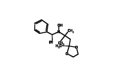 CC(C)C(c1ccccc1)N(O)C(C)(C)CC1(C)OCCO1